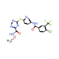 CONC(=O)c1ncnc(Sc2ccc(NC(=O)c3ccc(Cl)c(C(F)(F)F)c3)cn2)n1